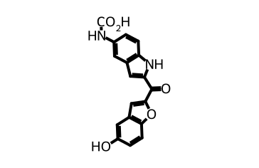 O=C(O)Nc1ccc2[nH]c(C(=O)c3cc4cc(O)ccc4o3)cc2c1